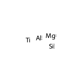 [Al].[Mg].[Si].[Ti]